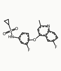 Cc1cc(Oc2ccc(NS(=O)(=O)C3CC3)cc2F)c2cc(F)ccc2n1